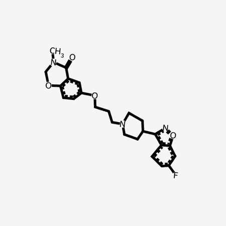 CN1COc2ccc(OCCCN3CCC(c4noc5cc(F)ccc45)CC3)cc2C1=O